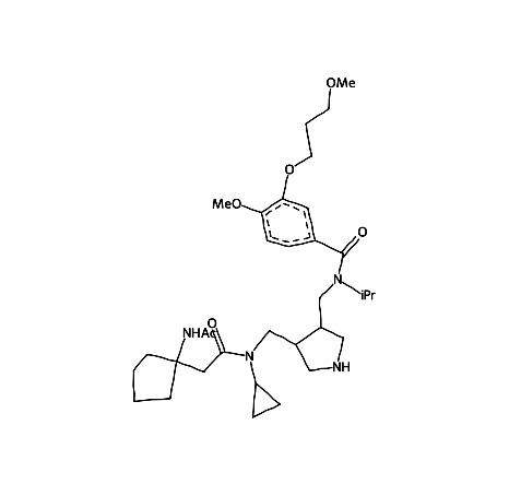 COCCCOc1cc(C(=O)N(CC2CNCC2CN(C(=O)CC2(NC(C)=O)CCCC2)C2CC2)C(C)C)ccc1OC